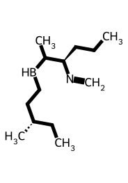 C=N[C@H](CCC)C(C)BCC[C@@H](C)CC